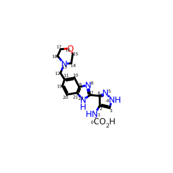 O=C(O)Nc1c[nH]nc1-c1nc2cc(CN3CCOCC3)ccc2[nH]1